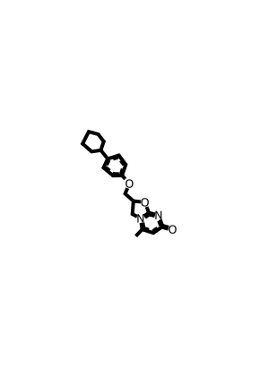 Cc1cc(=O)nc2n1CC(COc1ccc(C3CCCCC3)cc1)O2